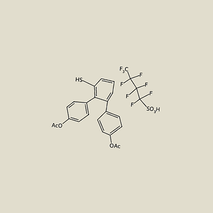 CC(=O)Oc1ccc(-c2cccc(S)c2-c2ccc(OC(C)=O)cc2)cc1.O=S(=O)(O)C(F)(F)C(F)(F)C(F)(F)C(F)(F)F